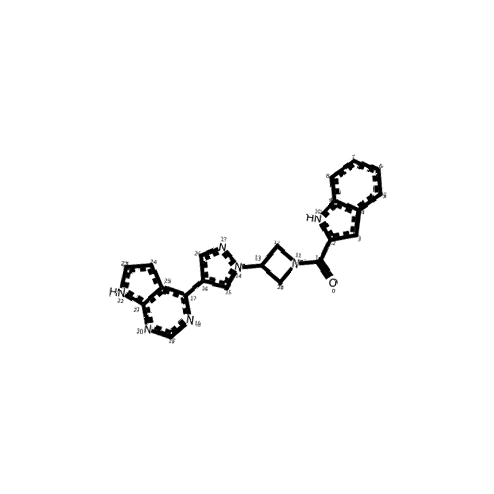 O=C(c1cc2ccccc2[nH]1)N1CC(n2cc(-c3ncnc4[nH]ccc34)cn2)C1